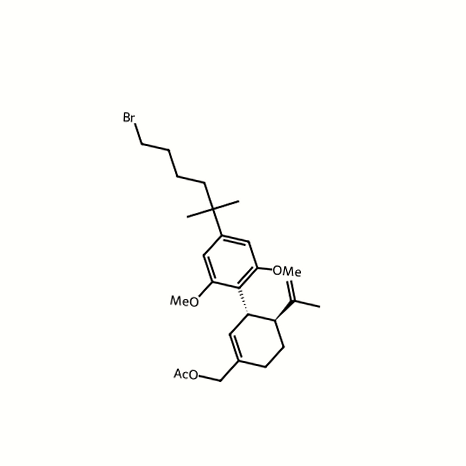 C=C(C)[C@H]1CCC(COC(C)=O)=C[C@@H]1c1c(OC)cc(C(C)(C)CCCCBr)cc1OC